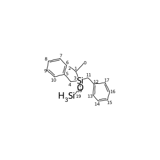 CC(C)[Si](Cc1ccccc1)(Cc1ccccc1)O[SiH3]